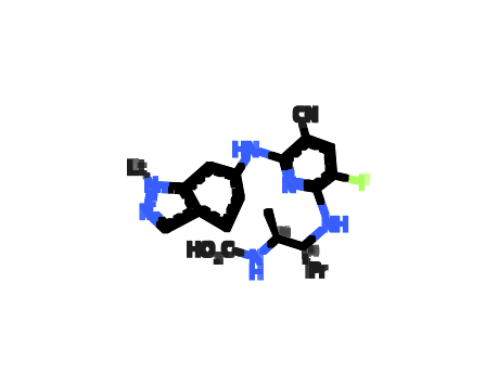 CCn1ncc2ccc(Nc3nc(N[C@H](C(C)C)[C@H](C)NC(=O)O)c(F)cc3C#N)cc21